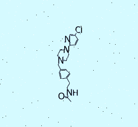 CC(=O)NCCc1ccc(CN2CCN(c3ccc(Cl)cn3)CC2)cc1